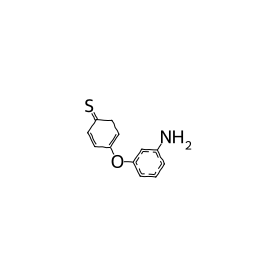 Nc1cccc(OC2=CCC(=S)C=C2)c1